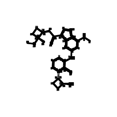 CNc1cc(Nc2cccn([C@H]3CC[C@@H]3O)c2=O)nc2c(C(=O)C[C@@H]3CC[C@@]3(C)OC)cnn12